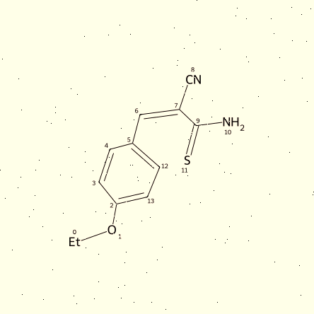 CCOc1ccc(C=C(C#N)C(N)=S)cc1